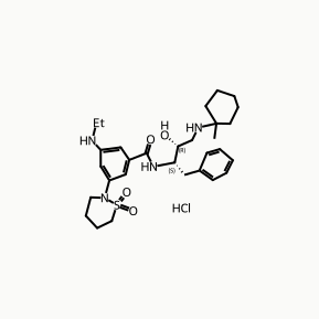 CCNc1cc(C(=O)N[C@@H](Cc2ccccc2)[C@H](O)CNC2(C)CCCCC2)cc(N2CCCCS2(=O)=O)c1.Cl